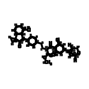 COC(=O)[C@H](CCc1ccc(N2C(=O)C3(CC3)c3cccc(Cl)c32)cc1)Nc1c(Cl)cc(N2C[C@@H]3C[C@H]2CO3)cc1Cl